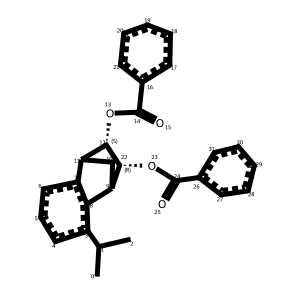 CC(C)c1cccc2c1C1CC2[C@H](OC(=O)c2ccccc2)[C@@H]1OC(=O)c1ccccc1